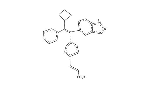 O=C(O)/C=C/c1ccc(/C(=C(\c2ccccc2)C2CCC2)c2ccc3[nH]ncc3c2)cc1